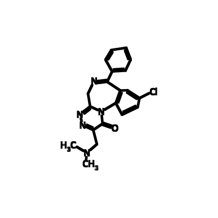 CN(C)Cc1nnc2n(c1=O)-c1ccc(Cl)cc1C(c1ccccc1)=NC2